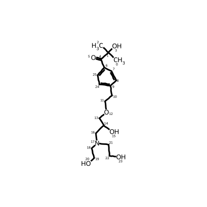 CC(C)(O)C(=O)c1ccc(CCOCC(O)CN(CCO)CCO)cc1